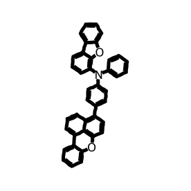 c1ccc(N(c2ccc(-c3ccc4c5c(cccc35)-c3ccccc3O4)cc2)c2cccc3c2oc2ccccc23)cc1